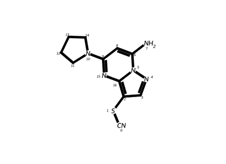 N#CSc1cnn2c(N)cc(N3CCCC3)nc12